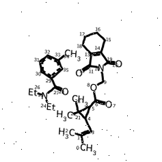 CC(C)=CC1C(C(=O)OCN2C(=O)C3=C(CCCC3)C2=O)C1(C)C.CCN(CC)C(=O)c1cccc(C)c1